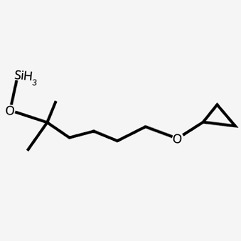 CC(C)(CCCCOC1CC1)O[SiH3]